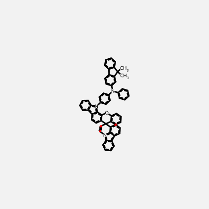 CC1(C)c2ccccc2-c2ccc(N(c3ccccc3)c3ccc(-n4c5ccccc5c5ccc6c(c54)Oc4ccccc4C64c5ccccc5-n5c6ccccc6c6cccc4c65)cc3)cc21